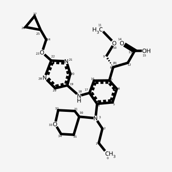 CCCN(c1ccc([C@H](COC)CC(=O)O)cc1Nc1cnc(OCC2CC2)nc1)C1CCOCC1